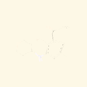 COC(=O)c1cc(Cl)cc(NC2CCOCC2)c1Br